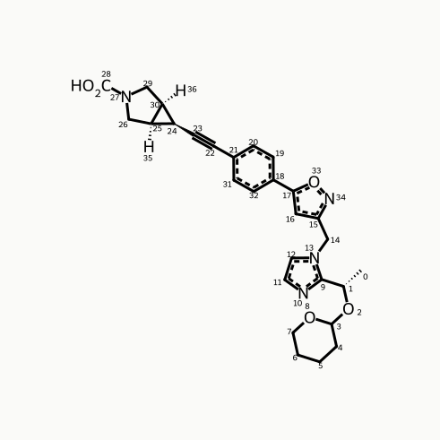 C[C@H](OC1CCCCO1)c1nccn1Cc1cc(-c2ccc(C#C[C@H]3[C@H]4CN(C(=O)O)C[C@@H]34)cc2)on1